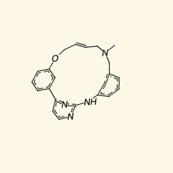 CN1C/C=C/COc2cccc(c2)-c2ccnc(n2)Nc2cccc(c2)C1